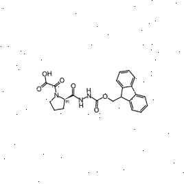 O=C(NNC(=O)[C@H]1CCCN1C(=O)C(=O)O)OCC1c2ccccc2-c2ccccc21